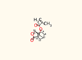 CC(C)C(=O)OC1C2CCC3C(C2)C(=O)OC31